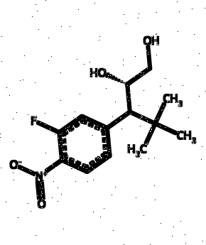 CC(C)(C)C(c1ccc([N+](=O)[O-])c(F)c1)[C@H](O)CO